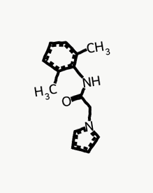 Cc1cccc(C)c1NC(=O)Cn1cccc1